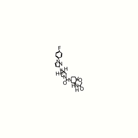 C[C@]12CCN(C(=O)N3C[C@@H]4[C@H](C3)[C@H]4c3ccn(-c4ccc(F)cc4)n3)C[C@H]1NC(=O)CO2